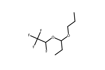 CCCOC(CC)OC(F)C(F)(F)F